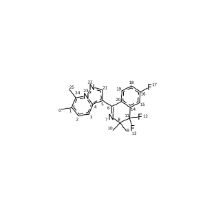 Cc1ccc2c(C3=NC(C)(C)C(F)(F)c4cc(F)ccc43)cnn2c1C